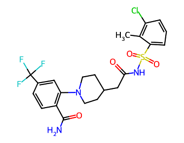 Cc1c(Cl)cccc1S(=O)(=O)NC(=O)CC1CCN(c2cc(C(F)(F)F)ccc2C(N)=O)CC1